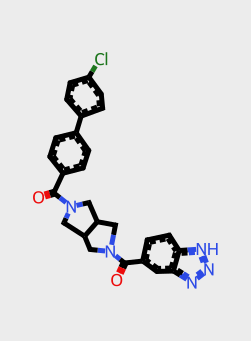 O=C(c1ccc(-c2ccc(Cl)cc2)cc1)N1CC2CN(C(=O)c3ccc4[nH]nnc4c3)CC2C1